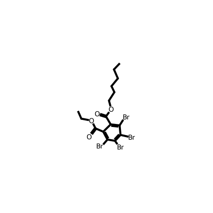 CCCCCCOC(=O)c1c(Br)c(Br)c(Br)c(Br)c1C(=O)OCC